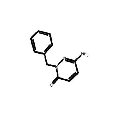 Nc1ccc(=O)n(Cc2ccccc2)n1